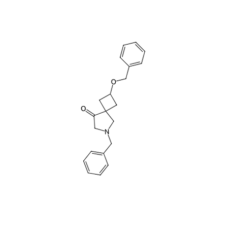 O=C1CN(Cc2ccccc2)CC12CC(OCc1ccccc1)C2